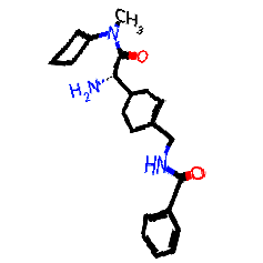 CN(C(=O)[C@@H](N)C1CCC(CNC(=O)c2ccccc2)CC1)C1CCC1